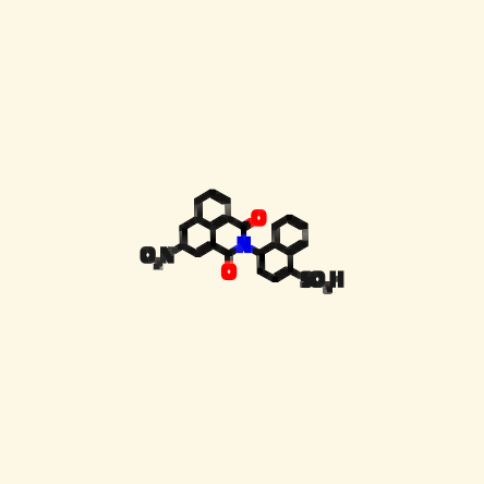 O=C1c2cccc3cc([N+](=O)[O-])cc(c23)C(=O)N1c1ccc(S(=O)(=O)O)c2ccccc12